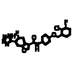 O=C(Nc1ccc(OCc2cccc(F)c2Cl)cc1)c1coc2cc(-c3nnn[nH]3)c(F)cc12